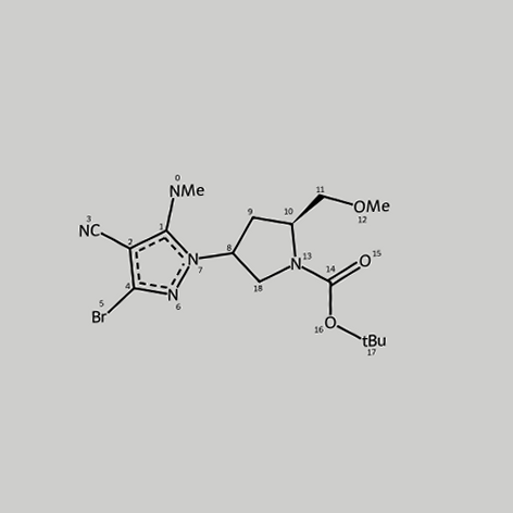 CNc1c(C#N)c(Br)nn1C1C[C@@H](COC)N(C(=O)OC(C)(C)C)C1